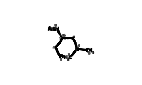 CC(=O)N[C@@H](CC(C)C)CN(C)C